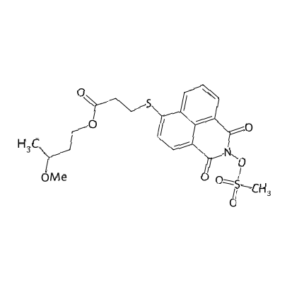 COC(C)CCOC(=O)CCSc1ccc2c3c(cccc13)C(=O)N(OS(C)(=O)=O)C2=O